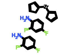 C1=CC[C]([Zr][C]2=CC=CC2)=C1.Nc1ccc(F)cc1F.Nc1ccc(F)cc1F